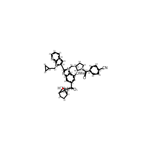 COc1cc(C(=O)N2CC3CCC2[C@@H]3N)cc2nc(-c3cc4cccnc4n3CC3CC3)n(C[C@H]3CCN(C(=O)c4ccc(C#N)cc4)C3)c12